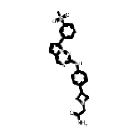 CS(=O)(=O)c1cccc(-c2ccc3cnc(Nc4ccc(C5CN(CC(N)=O)C5)cc4)nn23)c1